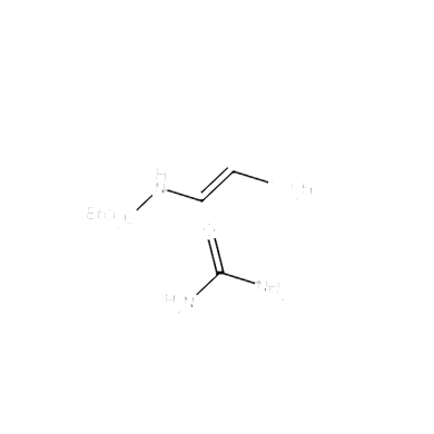 CCOC(=O)NC=CC(=O)O.NC(N)=O